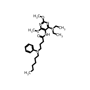 CCCCCCN(CCCC(=O)Nc1c(SC)nc(OC)nc1N(CC)CC)c1ccccc1